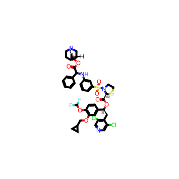 O=C(O[C@H]1CN2CCC1CC2)C(Nc1cccc(S(=O)(=O)N2CCS[C@H]2C(=O)O[C@@H](Cc2c(Cl)cncc2Cl)c2ccc(OC(F)F)c(OCC3CC3)c2)c1)c1ccccc1